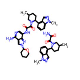 CC1CCC(c2cccc3c2cnn3C)N(C(=O)C(=O)Nc2cnc(N)c3cn(C4CCCCO4)nc23)C1.CC1CCC(c2cccc3c2cnn3C)N(C(=O)C(N)=O)C1